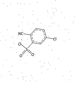 N#Cc1ccc(Cl)cc1S(=O)(=O)Cl